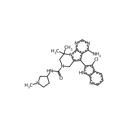 CN1CCC(NC(=O)N2Cc3c(-c4[nH]c5ncccc5c4Cl)c4c(N)ncnc4n3C(C)(C)C2)C1